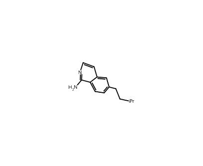 CC(C)CCc1ccc2c(N)nccc2c1